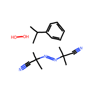 CC(C)(C#N)N=NC(C)(C)C#N.CC(C)c1ccccc1.OO